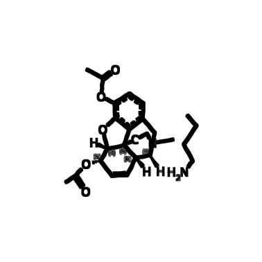 CC(=O)Oc1ccc2c3c1O[C@H]1[C@@H](OC(C)=O)C=C[C@H]4[C@@H](C2)N(C)CC[C@@]341.CCCCN